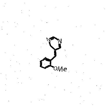 COc1ccccc1C=C1C=NC=NC1